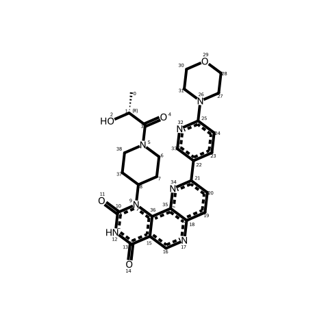 C[C@@H](O)C(=O)N1CCC(n2c(=O)[nH]c(=O)c3cnc4ccc(-c5ccc(N6CCOCC6)nc5)nc4c32)CC1